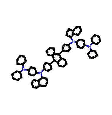 c1ccc(N(c2ccccc2)c2ccc(N(c3ccc(-c4c5ccccc5c(-c5ccc(N(c6ccc(N(c7ccccc7)c7ccccc7)cc6)c6cccc7ccccc67)cc5)c5ccccc45)cc3)c3cccc4ccccc34)cc2)cc1